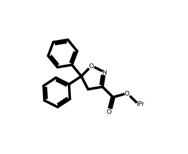 CC(C)OC(=O)C1=NOC(c2ccccc2)(c2ccccc2)C1